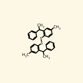 Cc1ccc(SSc2ccc(C)cc2C(C)c2ccccc2)c(C(C)c2ccccc2)c1